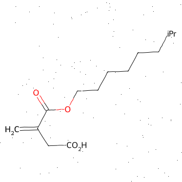 C=C(CC(=O)O)C(=O)OCCCCCCC(C)C